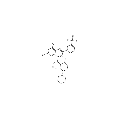 COC(=O)c1c(CN2CCC(N3CCCCC3)CC2)c(-c2cccc(C(F)(F)F)c2)nc2c(Cl)cc(Cl)cc12